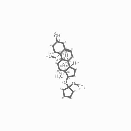 COC1(OC2CC[C@H]3[C@@H]4CC=C5CC(O)CC[C@]5(CO)[C@@H]4CC[C@]23C)CCCC1